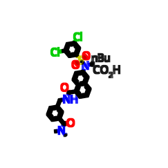 CCCCC(C(=O)O)N(c1ccc2c(C(=O)NCc3cccc(C(=O)N(C)C)c3)cccc2c1)S(=O)(=O)c1cc(Cl)cc(Cl)c1